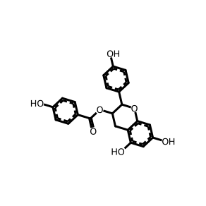 O=C(OC1Cc2c(O)cc(O)cc2OC1c1ccc(O)cc1)c1ccc(O)cc1